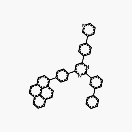 c1ccc(-c2cccc(-c3nc(-c4ccc(-c5cccnc5)cc4)cc(-c4ccc(-c5ccc6ccc7cccc8ccc5c6c78)cc4)n3)c2)cc1